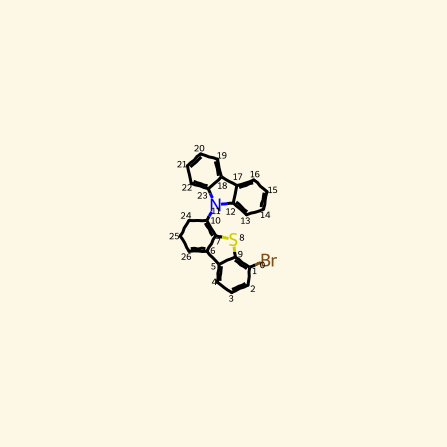 Brc1cccc2c3c(sc12)=C(n1c2ccccc2c2ccccc21)CCC=3